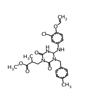 C=COc1ccc(NC2NC(=O)N(CC(C)C(=O)OC)C(=O)N2Cc2ccc(C)cc2)cc1Cl